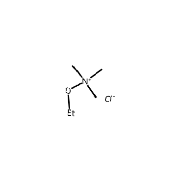 CCO[N+](C)(C)C.[Cl-]